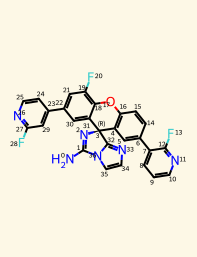 NC1=N[C@@]2(c3cc(-c4cccnc4F)ccc3Oc3c(F)cc(-c4ccnc(F)c4)cc32)c2nccn21